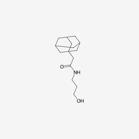 O=C(CC12CC3CC(CC(C3)C1)C2)NCCCO